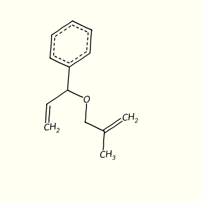 C=CC(OCC(=C)C)c1ccccc1